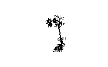 COc1cc(-c2cn(C)c(=O)c3cnccc23)cc(OC)c1CN(C)CC(=O)NCCCCCCCCNC(=O)COc1cccc2c1C(=O)N(C1CCC(=O)NC1=O)C2=O